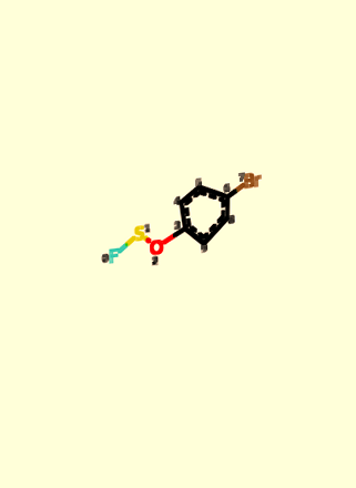 FSOc1ccc(Br)cc1